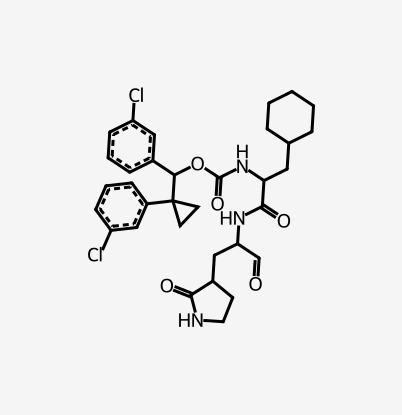 O=CC(CC1CCNC1=O)NC(=O)C(CC1CCCCC1)NC(=O)OC(c1cccc(Cl)c1)C1(c2cccc(Cl)c2)CC1